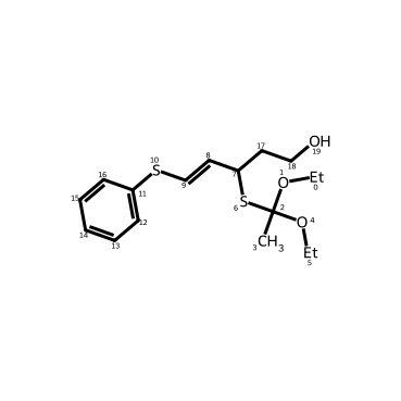 CCOC(C)(OCC)SC(C=CSc1ccccc1)CCO